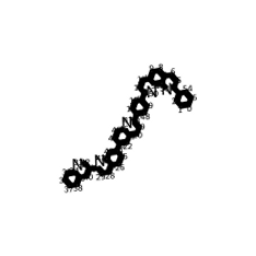 c1ccc(-c2ccc3ccc4ccc(-c5ccc(-c6ccc7cc(-c8ccc9ccc(-c%10cnc%11ccccc%11c%10)nc9c8)ccc7n6)cc5)nc4c3n2)cc1